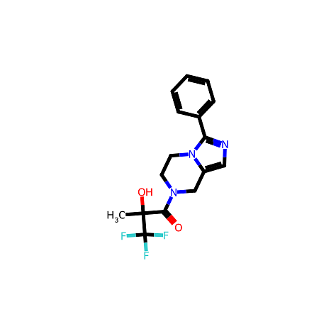 CC(O)(C(=O)N1CCn2c(cnc2-c2ccccc2)C1)C(F)(F)F